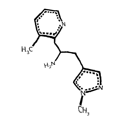 Cc1cccnc1C(N)Cc1cnn(C)c1